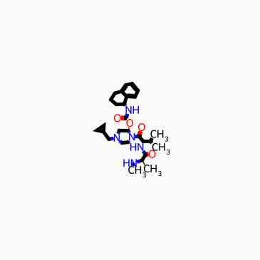 CN[C@@H](C)C(=O)N[C@H](C(=O)N1CCN(CC2CC2)C[C@@H]1OC(=O)NC1CCCc2ccccc21)C(C)C